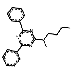 C[CH]CCC(C)c1nc(-c2ccccc2)nc(-c2ccccc2)n1